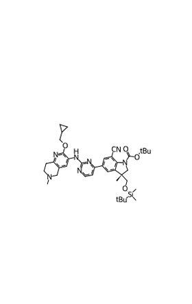 CN1CCc2nc(OCC3CC3)c(Nc3nccc(-c4cc(C#N)c5c(c4)[C@@](C)(CO[Si](C)(C)C(C)(C)C)CN5C(=O)OC(C)(C)C)n3)cc2C1